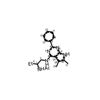 CCC(CNc1nc(-c2ccccc2)nc2[nH]c(C)c(C)c12)NC(C)=O